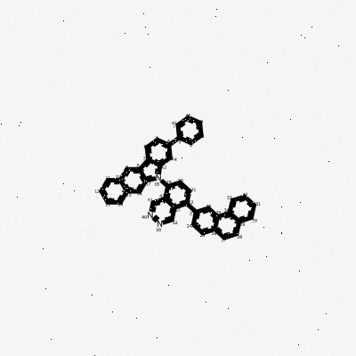 c1ccc(-c2ccc3c4cc5ccccc5cc4n(-c4ccc(-c5ccc6ccc7ccccc7c6c5)c5cnncc45)c3c2)cc1